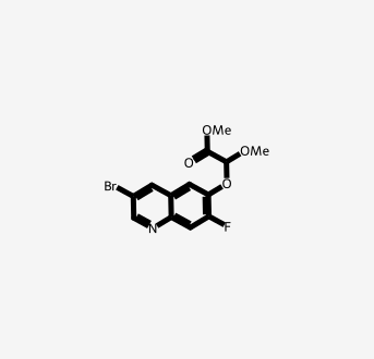 COC(=O)C(OC)Oc1cc2cc(Br)cnc2cc1F